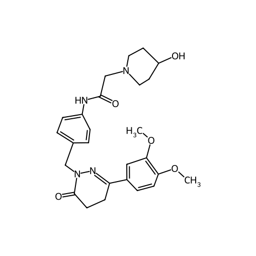 COc1ccc(C2=NN(Cc3ccc(NC(=O)CN4CCC(O)CC4)cc3)C(=O)CC2)cc1OC